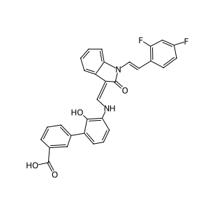 O=C(O)c1cccc(-c2cccc(N/C=C3\C(=O)N(/C=C/c4ccc(F)cc4F)c4ccccc43)c2O)c1